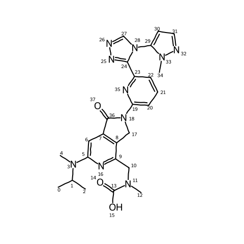 CC(C)N(C)c1cc2c(c(CN(C)C(=O)O)n1)CN(c1cccc(-c3nncn3-c3ccnn3C)n1)C2=O